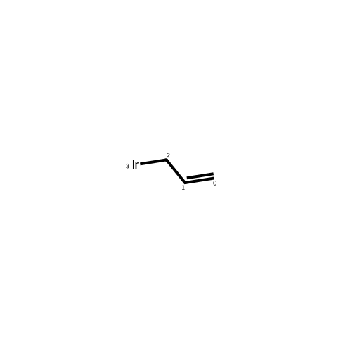 C=C[CH2][Ir]